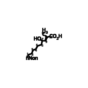 CCCCCCCCCCCCCCCC(O)C=C(C)C(=O)O